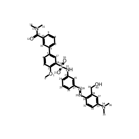 COc1ccc(-c2cccc(C(=O)N(C)C)c2)cc1S(=O)(=O)Nc1cccc(/N=N/c2ccc(N(C)C)cc2CO)c1